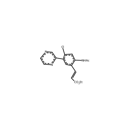 CCOC(=O)C=Cc1cc(-c2cnccn2)c(Cl)cc1NC(C)=O